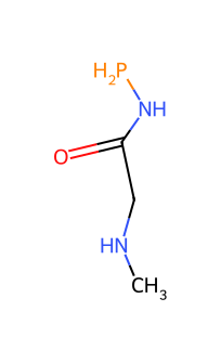 CNCC(=O)NP